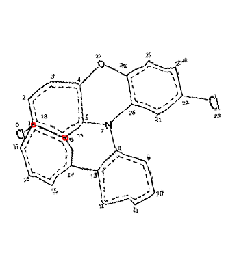 Clc1ccc2c(c1)N(c1ccccc1-c1ccccc1)c1cc(Cl)ccc1O2